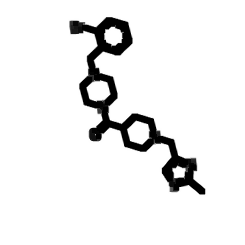 Cc1nc(CN2CCC(C(=O)N3CCN(Cc4ccccc4Br)CC3)CC2)cs1